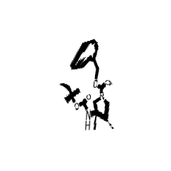 C[C@H]1CN(C(=O)OCc2ccccc2)C[C@@]1(C)NC(=O)OC(C)(C)C